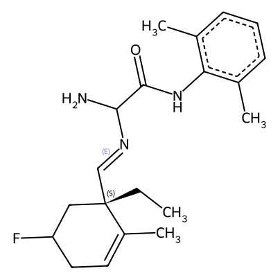 CC[C@]1(/C=N/C(N)C(=O)Nc2c(C)cccc2C)CC(F)CC=C1C